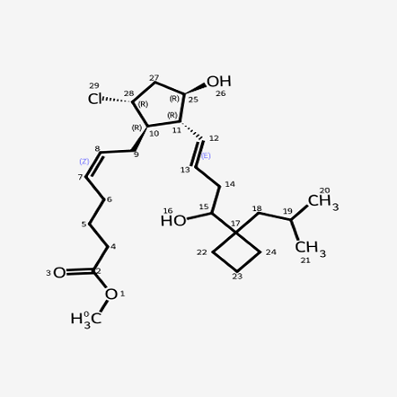 COC(=O)CCC/C=C\C[C@@H]1[C@@H](/C=C/CC(O)C2(CC(C)C)CCC2)[C@H](O)C[C@H]1Cl